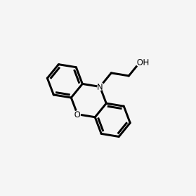 OCCN1c2ccccc2Oc2ccccc21